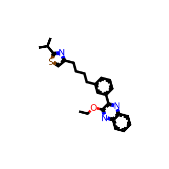 CCOc1nc2ccccc2nc1-c1cccc(CCCCc2csc(C(C)C)n2)c1